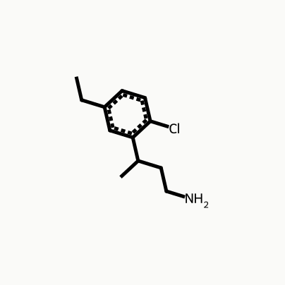 CCc1ccc(Cl)c(C(C)CCN)c1